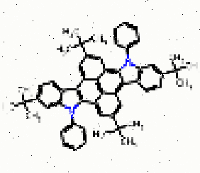 CC(C)(C)c1cc2c3c(c1)c1c(c4cc(C(C)(C)C)cc(c43)c3c2c2ccc(C(C)(C)C)cc2n3-c2ccccc2)c2ccc(C(C)(C)C)cc2n1-c1ccccc1